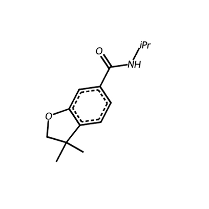 CC(C)NC(=O)c1ccc2c(c1)OCC2(C)C